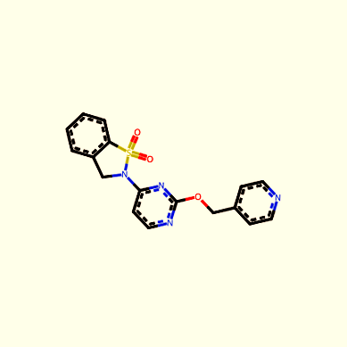 O=S1(=O)c2ccccc2CN1c1ccnc(OCc2ccncc2)n1